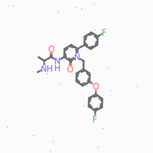 CNC(C)C(=O)Nc1ccc(-c2ccc(F)cc2)n(Cc2cccc(Oc3ccc(F)cc3)c2)c1=O